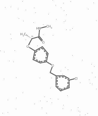 CNC(=O)[C@@H](C)Oc1ccc(OCc2cccc(Cl)c2)cc1